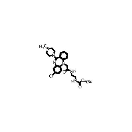 CN1CCN(C2=Nc3cc(Cl)ccc3N(CC(=O)NCCNC(=O)OC(C)(C)C)c3ccccc32)CC1